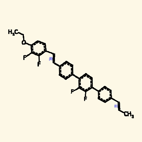 C/C=C/c1ccc(-c2ccc(-c3ccc(/C=C/c4ccc(OCC)c(F)c4F)cc3)c(F)c2F)cc1